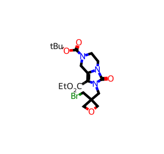 CCOC(=O)c1c2n(c(=O)n1CC1(CBr)COC1)CCN(C(=O)OC(C)(C)C)C2